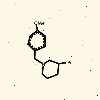 CCCC1CCCN(Cc2ccc(OC)cc2)C1